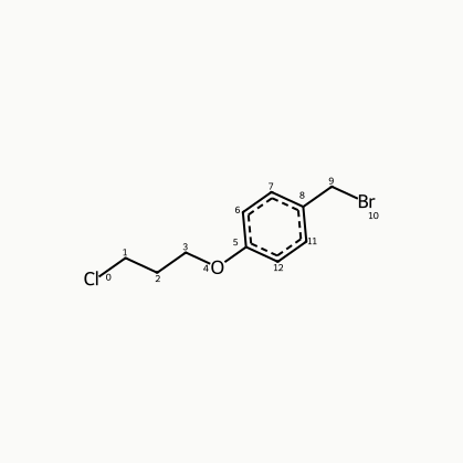 ClCCCOc1ccc(CBr)cc1